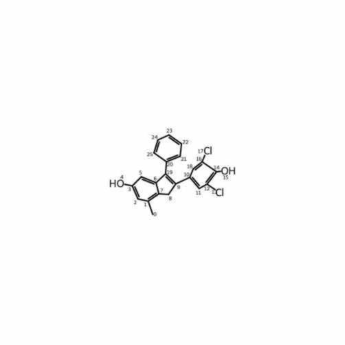 Cc1cc(O)cc2c1CC(c1cc(Cl)c(O)c(Cl)c1)=C2c1ccccc1